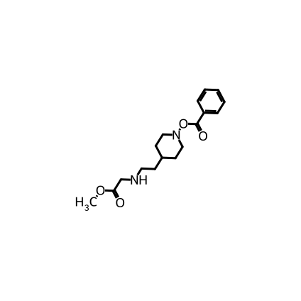 COC(=O)CNCCC1CCN(OC(=O)c2ccccc2)CC1